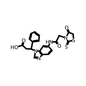 O=C(O)CC(c1ccccc1)n1cnc2ccc(NC(=O)CN3C(=O)CSC3=S)cc21